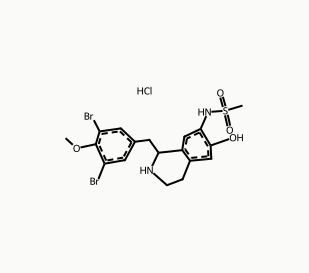 COc1c(Br)cc(CC2NCCc3cc(O)c(NS(C)(=O)=O)cc32)cc1Br.Cl